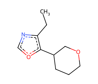 CCc1ncoc1C1CCCOC1